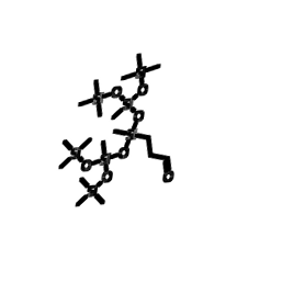 C[Si](C)(C)O[Si](C)(O[Si](C)(C)C)O[Si](C)(CCC=O)O[Si](C)(O[Si](C)(C)C)O[Si](C)(C)C